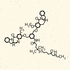 CCNCC(=O)CCCSSC(C)(C)CCC(=O)Nc1cc(COc2cc3c(cc2C)C(=O)N2c4ccccc4C[C@H]2C=N3)cc(COc2cc3c(cc2OC)C(=O)N2c4ccccc4C[C@H]2CC3)c1